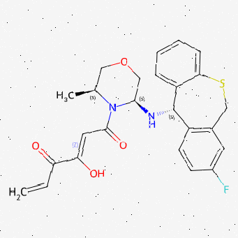 C=CC(=O)/C(O)=C/C(=O)N1[C@@H](C)COC[C@H]1N[C@H]1c2ccc(F)cc2CSc2ccccc21